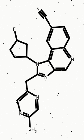 Cc1cnc(Cc2nc3cnc4ccc(C#N)cc4c3n2C2CCC(F)C2)cn1